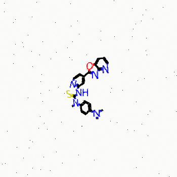 CN(C)c1ccc(N(C)C(=S)Nc2cc(-c3nc4ncccc4o3)ccn2)cc1